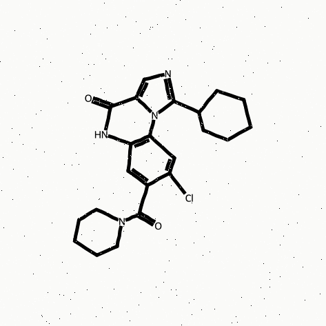 O=C(c1cc2[nH]c(=O)c3cnc(C4CCCCC4)n3c2cc1Cl)N1CCCCC1